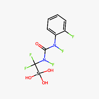 O=C(N(F)c1ccccc1F)N(F)C(F)(F)[Si](O)(O)O